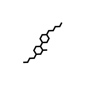 CCCCCC1CCC(C2CCC(CCCC)CC2C)CC1